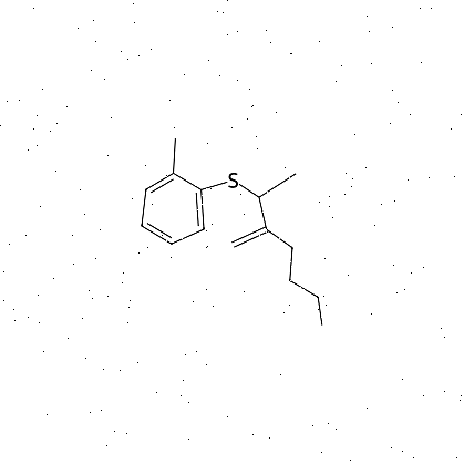 C=C(CCCC)C(C)Sc1ccccc1C